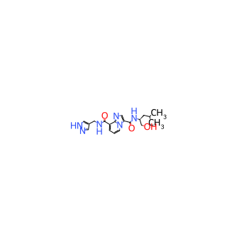 CC(C)C[C@@H](CO)NC(=O)c1cnc2c(C(=O)NCc3cn[nH]c3)cccn12